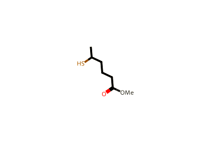 COC(=O)CCCC(C)S